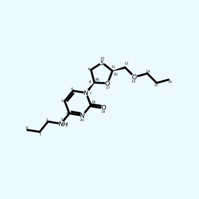 CCCNc1ccn([C@H]2CS[C@@H](COCCC)O2)c(=O)n1